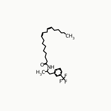 CCCCC/C=C\C/C=C\CCCCCCCC(=O)NC(C)Cc1cccc(C(F)(F)F)c1